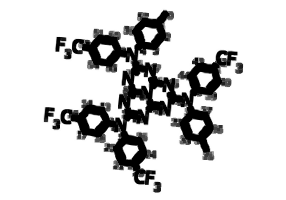 Cc1ccc(N(C2=NC3=NC(N(c4ccc(C(F)(F)F)cc4)c4ccc(C(F)(F)F)cc4)=NC4=NC(N(c5ccc(C)cc5)c5ccc(C(F)(F)F)cc5)=NC(=N2)N34)c2ccc(C(F)(F)F)cc2)cc1